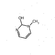 CN1C=CC=NC1O